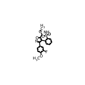 COCc1onc(-c2ccc(OC)c(F)c2)c1-c1ccccc1S(N)(=O)=O